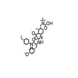 CCc1ccc(NC(=O)[C@H](Cc2ccc(OC)cc2)Nc2nc3ccc(CN(C(=O)O)C(C)(C)C)c(C)c3c(=O)o2)cc1